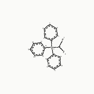 FC(F)[Si](c1ccccc1)(c1ccccc1)c1ccccc1